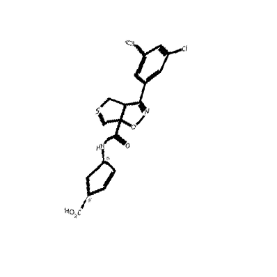 O=C(O)[C@@H]1C=C[C@H](NC(=O)C23CSCC2C(c2cc(Cl)cc(Cl)c2)=NO3)C1